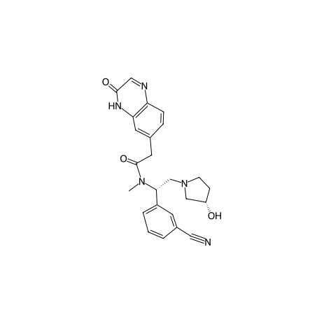 CN(C(=O)Cc1ccc2ncc(=O)[nH]c2c1)[C@H](CN1CC[C@H](O)C1)c1cccc(C#N)c1